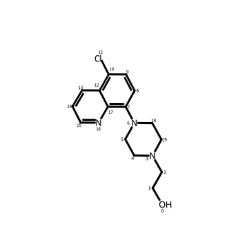 OCCN1CCN(c2[c]cc(Cl)c3cccnc23)CC1